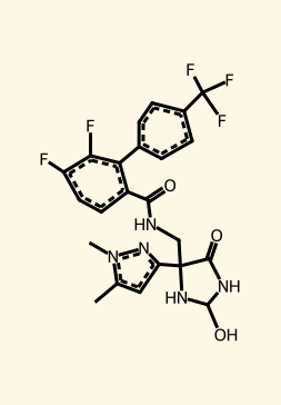 Cc1cc(C2(CNC(=O)c3ccc(F)c(F)c3-c3ccc(C(F)(F)F)cc3)NC(O)NC2=O)nn1C